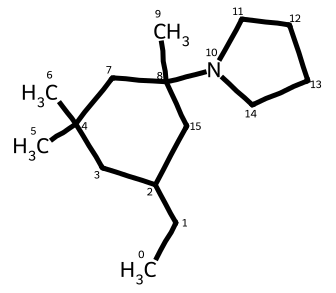 CCC1CC(C)(C)CC(C)(N2CCCC2)C1